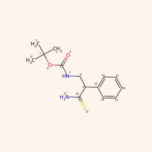 CC(C)(C)OC(=O)NCC(C(N)=S)c1ccccc1